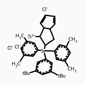 Cc1cc(C)cc([Si](c2cc(C)cc(C)c2)(c2cc(C(C)(C)C)cc(C(C)(C)C)c2)C2CC3C=CC=CC3[CH]2[Ti+3])c1.[Cl-].[Cl-].[Cl-]